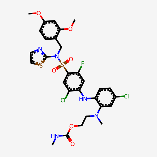 CNC(=O)OCCN(C)c1cc(Cl)ccc1Nc1cc(F)c(S(=O)(=O)N(Cc2ccc(OC)cc2OC)c2nccs2)cc1Cl